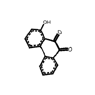 O=C1C(=O)c2c(O)cccc2-c2ccccc21